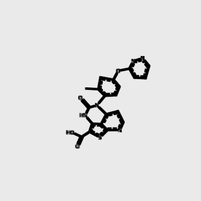 Cc1cc(Oc2cccnn2)ccc1N1C(=O)Nc2c(C(=O)O)sc3nccc1c23